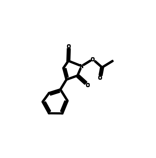 CC(=O)ON1C(=O)C=C(c2ccccc2)C1=O